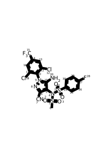 CS(=O)(=O)N(c1c(C#N)nn(-c2c(Cl)cc(C(F)(F)F)cc2Cl)c1N)S(=O)(=O)c1ccc(F)cc1